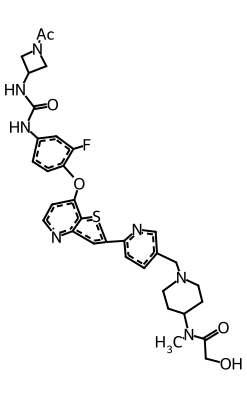 CC(=O)N1CC(NC(=O)Nc2ccc(Oc3ccnc4cc(-c5ccc(CN6CCC(N(C)C(=O)CO)CC6)cn5)sc34)c(F)c2)C1